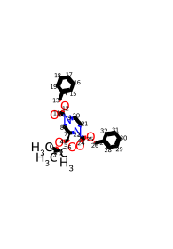 CC(C)(C)OC(=O)[C@H]1CN(C(=O)OCc2ccccc2)CCN1C(=O)OCc1ccccc1